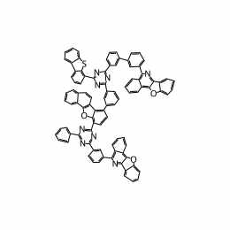 c1ccc(-c2nc(-c3cccc(-c4nc5c6ccccc6oc5c5ccccc45)c3)nc(-c3ccc(-c4cccc(-c5nc(-c6cccc(-c7cccc(-c8nc9c%10ccccc%10oc9c9ccccc89)c7)c6)nc(-c6cccc7c6sc6ccccc67)n5)c4)c4c3oc3c5ccccc5ccc34)n2)cc1